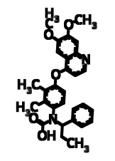 CCC(c1ccccc1)N(C(=O)O)c1ccc(Oc2ccnc3cc(OC)c(OC)cc23)c(C)c1C